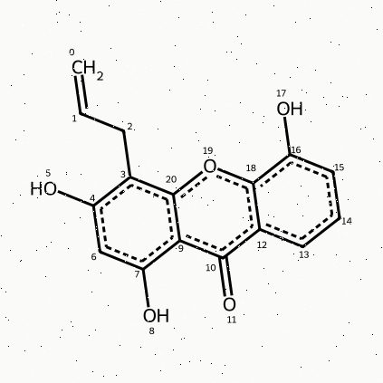 C=CCc1c(O)cc(O)c2c(=O)c3cccc(O)c3oc12